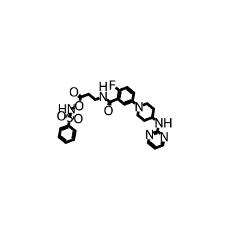 O=C(CCNC(=O)c1cc(N2CCC(Nc3ncccn3)CC2)ccc1F)ONS(=O)(=O)c1ccccc1